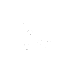 COc1cc([C@@H]2CCc3cc(O)ccc3C2)c(N(CCO)Cc2ccc(C3CCN(C)CC3)cc2)cc1OC